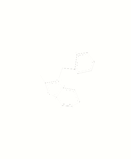 FC(F)(F)c1nc2ccccc2n1Cc1cc[c]cc1